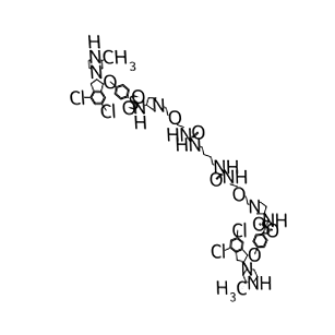 C[C@@H]1CN([C@H]2Cc3c(Cl)cc(Cl)cc3[C@@H]2Oc2ccc(S(=O)(=O)N[C@H]3CCN(CCOCCNC(=O)NCCCCNC(=O)NCCOCCN4CC[C@H](NS(=O)(=O)c5ccc(O[C@H]6c7cc(Cl)cc(Cl)c7C[C@@H]6N6CCN[C@H](C)C6)cc5)C4)C3)cc2)CCN1